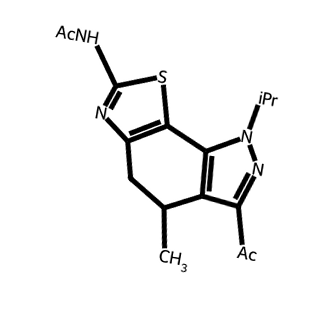 CC(=O)Nc1nc2c(s1)-c1c(c(C(C)=O)nn1C(C)C)C(C)C2